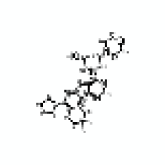 CC1(C)CCc2c(N3CCCC3)nc3sc4c(N(CCO)CCN5CCOCC5)ncnc4c3c2C1